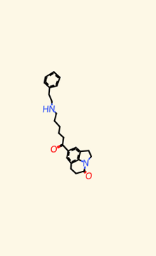 O=C(CCCCCNCCc1ccccc1)c1cc2c3c(c1)CCN3C(=O)CC2